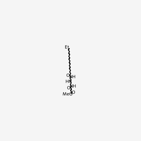 CCC=CCC=CCC=CCC=CCC=CCCCC(=O)NCCNCCNC(=O)C=CC(=O)OC